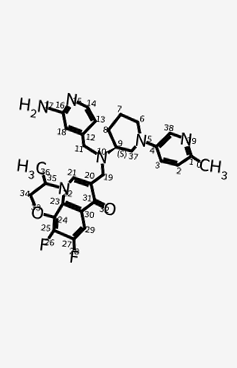 Cc1ccc(N2CCC[C@H](N(Cc3ccnc(N)c3)Cc3cn4c5c(c(F)c(F)cc5c3=O)OCC4C)C2)cn1